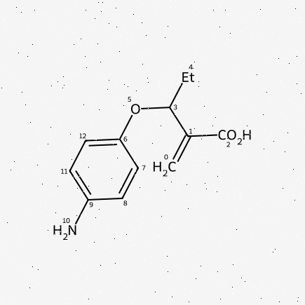 C=C(C(=O)O)C(CC)Oc1ccc(N)cc1